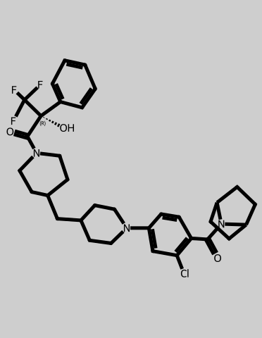 O=C(c1ccc(N2CCC(CC3CCN(C(=O)[C@](O)(c4ccccc4)C(F)(F)F)CC3)CC2)cc1Cl)N1C2CCC1CC2